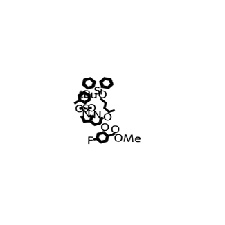 COC(=O)c1ccc(F)cc1Oc1cc2ccn(S(=O)(=O)c3ccccc3C)c2nc1OC(C)CCCO[Si](c1ccccc1)(c1ccccc1)C(C)(C)C